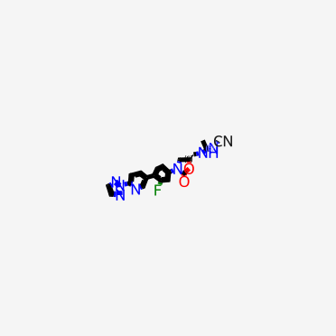 C/C(=N\C#N)NC[C@H]1CN(c2ccc(-c3ccc(-n4nccn4)nc3)c(F)c2)C(=O)O1